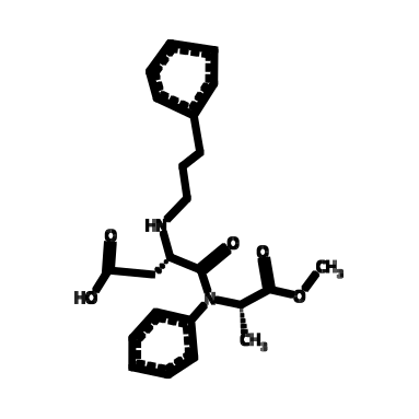 COC(=O)[C@H](C)N(C(=O)[C@H](CC(=O)O)NCCCc1ccccc1)c1ccccc1